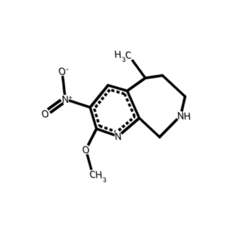 COc1nc2c(cc1[N+](=O)[O-])C(C)CCNC2